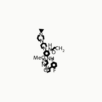 C=CC(=O)Nc1cc(Nc2cc(N3OCCC3c3cc(F)ccc3F)ncn2)c(OC)cc1N1CCC(N2CCCN(C3CC3)CC2)CC1